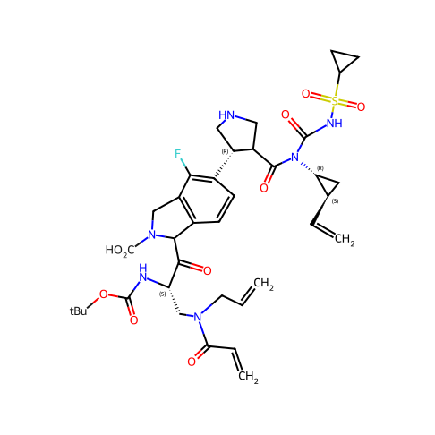 C=CCN(C[C@H](NC(=O)OC(C)(C)C)C(=O)C1c2ccc([C@@H]3CNCC3C(=O)N(C(=O)NS(=O)(=O)C3CC3)[C@@H]3C[C@H]3C=C)c(F)c2CN1C(=O)O)C(=O)C=C